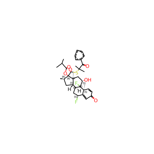 CC(C)C(=O)O[C@]1(C(=O)SC(C)(C)C(=O)c2ccccc2)[C@H](C)C[C@H]2[C@@H]3C[C@H](F)C4=CC(=O)C=C[C@]4(C)[C@@]3(F)[C@@H](O)C[C@@]21C